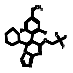 COc1cc(F)c(-c2c(OCC(F)(F)F)nc3ncnn3c2C2CCCCC2)c(F)c1